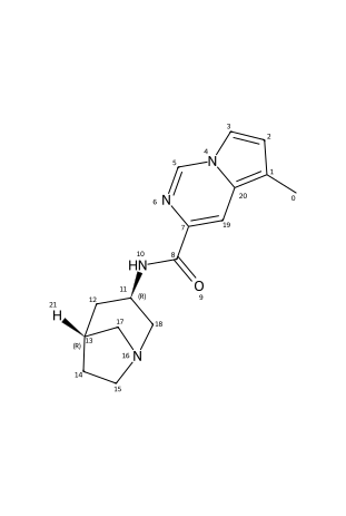 Cc1ccn2cnc(C(=O)N[C@@H]3C[C@H]4CCN(C4)C3)cc12